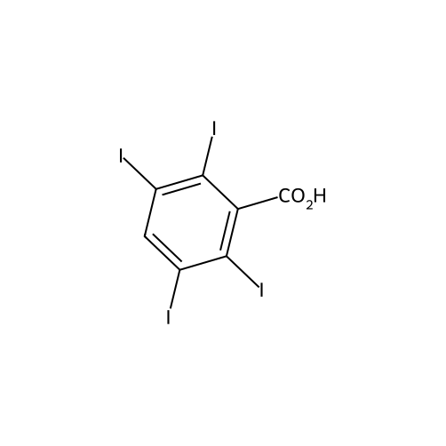 O=C(O)c1c(I)c(I)cc(I)c1I